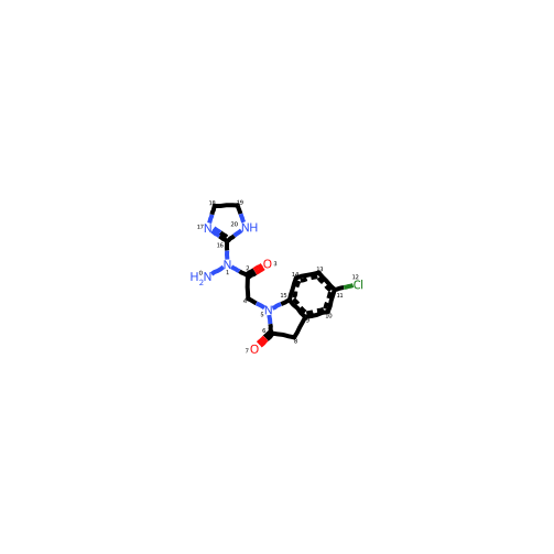 NN(C(=O)CN1C(=O)Cc2cc(Cl)ccc21)C1=NCCN1